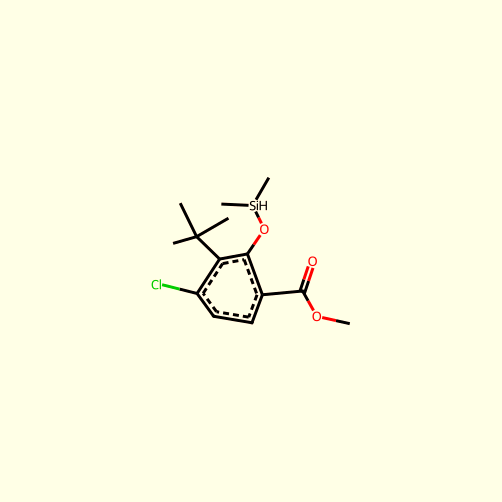 COC(=O)c1ccc(Cl)c(C(C)(C)C)c1O[SiH](C)C